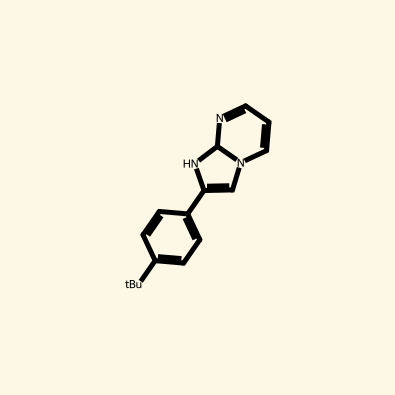 CC(C)(C)c1ccc(C2=CN3C=CC=NC3N2)cc1